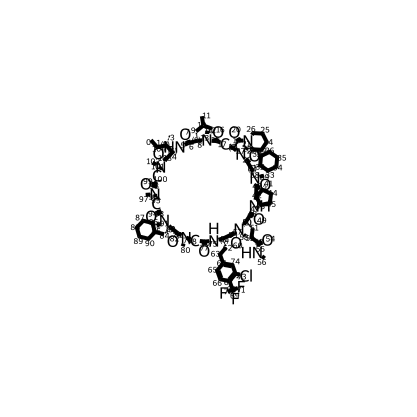 CC[C@H](C)[C@@H]1NC(=O)[C@H](CC(C)C)N(C)C(=O)C[C@@H](C(=O)N2CCCCC2)N(C)C(=O)[C@H](C2CCCCC2)N(C)C(=O)C2(CCCC2)NC(=O)[C@H](CCC(=O)NC)N(C)C(=O)[C@H](CCc2ccc(C(F)(F)F)c(Cl)c2)NC(=O)CN(C)C(=O)[C@H](CC2CCCCC2)N(C)C(=O)CN(C)C(=O)CN(C)C1=O